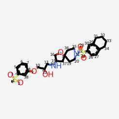 CS(=O)(=O)c1cccc(OCC(O)CNC2COC3(CCN(S(=O)(=O)c4ccc5c(c4)CCCC5)CC3)C2)c1